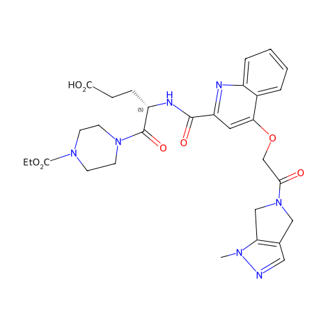 CCOC(=O)N1CCN(C(=O)[C@H](CCC(=O)O)NC(=O)c2cc(OCC(=O)N3Cc4cnn(C)c4C3)c3ccccc3n2)CC1